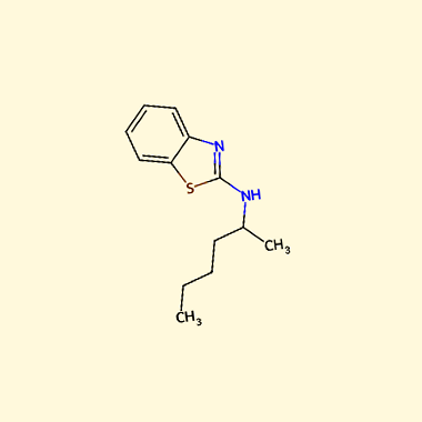 CCCCC(C)Nc1nc2ccccc2s1